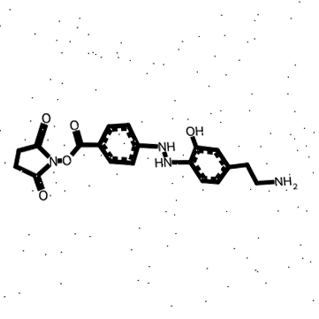 NCCc1ccc(NNc2ccc(C(=O)ON3C(=O)CCC3=O)cc2)c(O)c1